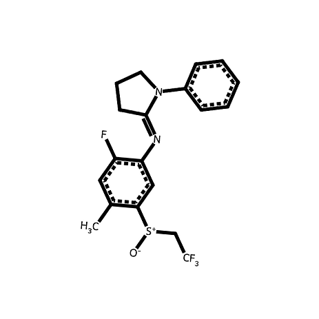 Cc1cc(F)c(N=C2CCCN2c2ccccc2)cc1[S+]([O-])CC(F)(F)F